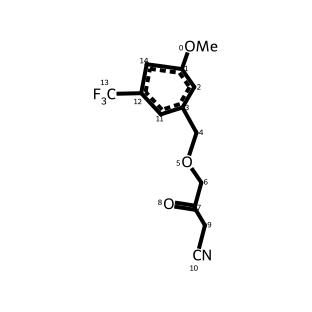 COc1cc(COCC(=O)CC#N)cc(C(F)(F)F)c1